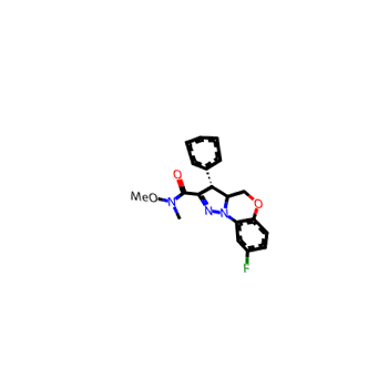 CON(C)C(=O)C1=NN2c3cc(F)ccc3OCC2[C@H]1c1ccccc1